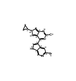 Clc1nc(-c2c[nH]c3cnc(Br)cc23)c2nn(C3CC3)cc2n1